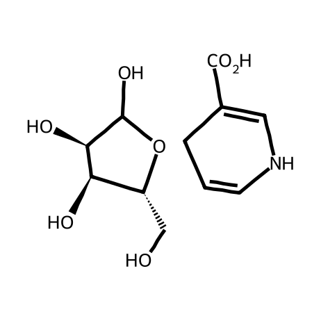 O=C(O)C1=CNC=CC1.OC[C@H]1OC(O)[C@H](O)[C@@H]1O